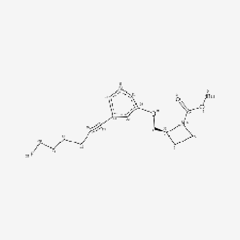 CC(C)(C)OC(=O)N1CC[C@H]1COc1cncc(C#CCCCCF)c1